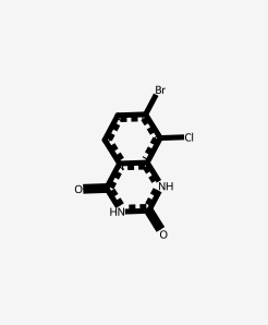 O=c1[nH]c(=O)c2ccc(Br)c(Cl)c2[nH]1